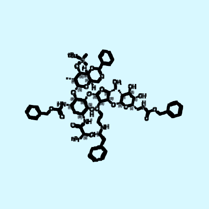 CCC[C@H](O)C(=O)N[C@@H]1C[C@H](NC(=O)OCc2ccccc2)[C@@H](O[C@H]2O[C@@H]3COC(c4ccccc4)O[C@H]3[C@H](O[Si](C)(C)C(C)(C)C)[C@H]2C)[C@H](O[C@@H]2O[C@H](CO)[C@@H](O[C@H]3O[C@@H](CNC(=O)OCc4ccccc4)[C@@H](O)[C@H](O)[C@H]3C)[C@H]2OCCNCCc2ccccc2)[C@H]1O